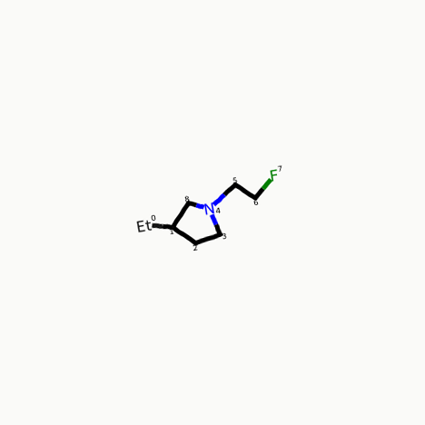 CCC1CCN(CCF)C1